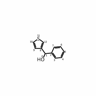 OC(c1ccccc1)c1ccsc1